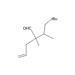 C=CCC(C)(C=O)C(C)CC(C)(C)C